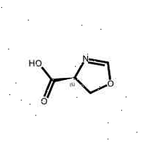 O=C(O)[C@@H]1COC=N1